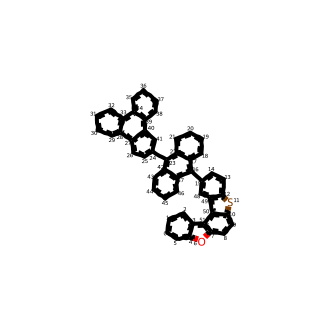 c1ccc2c(c1)oc1ccc3sc4ccc(-c5c6ccccc6c(-c6ccc7c8ccccc8c8ccccc8c7c6)c6ccccc56)cc4c3c12